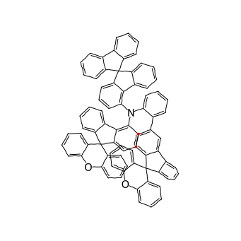 c1ccc2c(c1)Oc1ccccc1C21c2ccccc2-c2cc(-c3ccccc3N(c3cccc4c3-c3ccccc3C43c4ccccc4Oc4ccccc43)c3cccc4c3-c3ccccc3C43c4ccccc4-c4ccccc43)ccc21